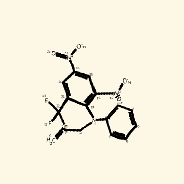 C=CCN(c1ccccc1)c1c([N+](=O)[O-])cc([N+](=O)[O-])cc1C(F)(F)F